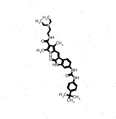 CCN(CC)CCNC(=O)c1c(C)[nH]c(C=C2C(=O)Nc3cc(NC(=O)Nc4ccc(C(C)(C)C)cc4)ccc32)c1C